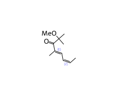 C/C=C\C=C(/C)C(=O)C(C)(C)OC